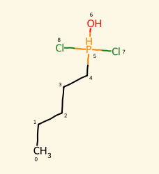 CCCCC[PH](O)(Cl)Cl